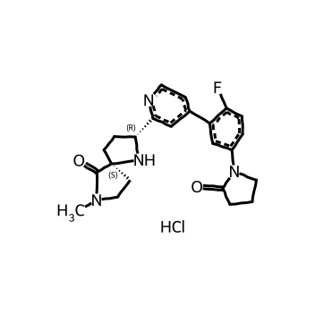 CN1CC[C@@]2(CC[C@H](c3cc(-c4cc(N5CCCC5=O)ccc4F)ccn3)N2)C1=O.Cl